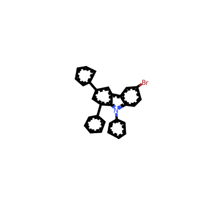 Brc1ccc2c(c1)c1cc(-c3ccccc3)cc(-c3ccccc3)c1n2-c1ccccc1